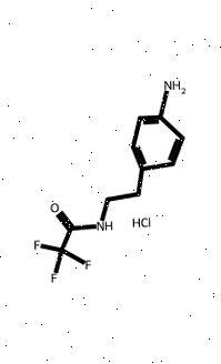 Cl.Nc1ccc(CCNC(=O)C(F)(F)F)cc1